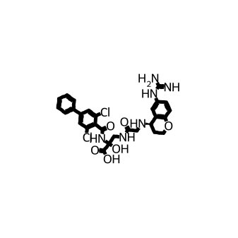 N=C(N)Nc1ccc2c(c1)[C@H](NCC(=O)NCC(O)(NC(=O)c1c(Cl)cc(-c3ccccc3)cc1Cl)C(=O)O)CCO2